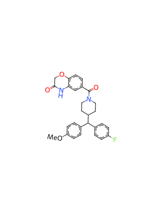 COc1ccc(C(c2ccc(F)cc2)C2CCN(C(=O)c3ccc4c(c3)NC(=O)CO4)CC2)cc1